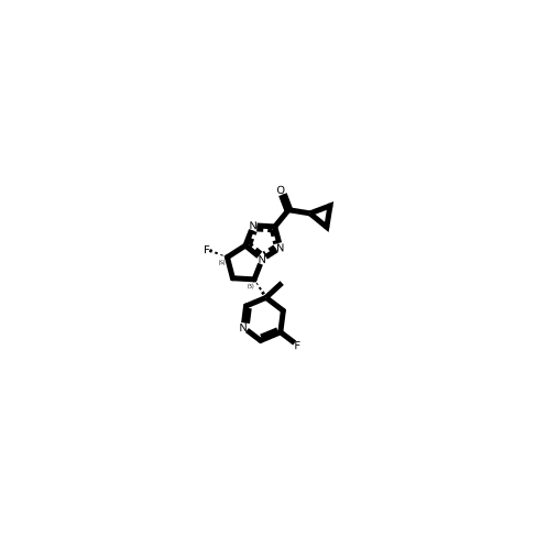 CC1([C@@H]2C[C@H](F)c3nc(C(=O)C4CC4)nn32)C=NC=C(F)C1